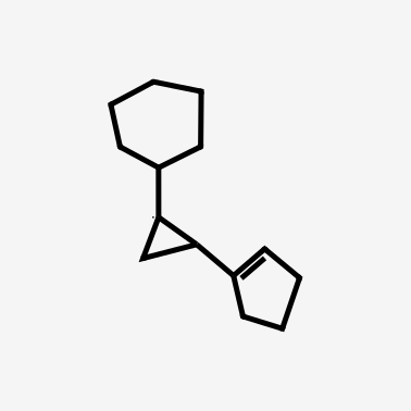 C1=C(C2C[C]2C2CCCCC2)CCC1